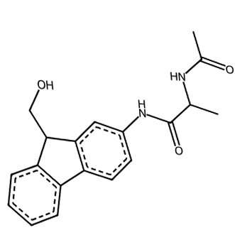 CC(=O)NC(C)C(=O)Nc1ccc2c(c1)C(CO)c1ccccc1-2